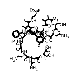 CCN(CC)CCNC(=O)c1c(C)[nH]c(/C=C2\C(=O)N(COC(=O)C(C)C(C)C(=O)N[C@H](C(=O)N[C@@H](CCN)C(=O)N[C@H]3CCNC(=O)[C@H]([C@@H](C)O)NC(=O)[C@H](CCN)NC(=O)[C@H](CCN)NC(=O)[C@H](CC(C)C)NC(=O)[C@@H](Cc4ccccc4)NC(=O)CNC3=O)[C@@H](C)O)c3ccc(F)cc32)c1C